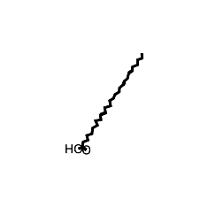 CCCCCC=CCC=CCCCCCCCC=CCCCCCCCCC(=O)O